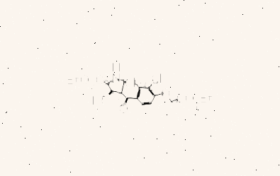 C=C1C(C(=O)c2ccc(OCC(=O)OCC)c(Cl)c2Cl)CN[C@@H]1C(=O)OCC